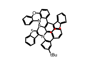 CC(C)(C)c1ccc(N2c3cc4sc5ccccc5c4c4c3B(c3sc5ccccc5c32)N2c3ccccc3Oc3cccc-4c32)c(-c2ccccc2)c1